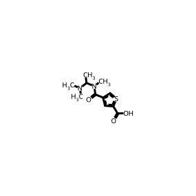 CC(N(C)C)N(C)C(=O)c1csc(C(=O)O)c1